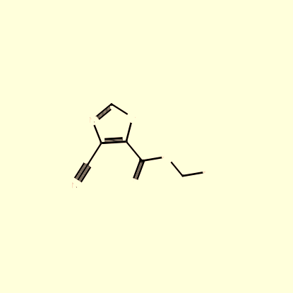 CCOC(=O)c1ocnc1C#N